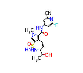 CC(O)C1C=Cc2c(cn(C)c2C(=O)Nc2cc(F)nc(C#N)c2)S(=N)(=O)N1